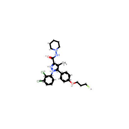 Cc1c(C(=O)NN2CCCCC2)nn(-c2cccc(Cl)c2Cl)c1-c1ccc(OCCCF)cc1